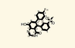 CS(=O)(=O)c1cccc(-c2c(-c3ccc(F)cc3)cc(O)c3nc[nH]c(=O)c23)c1